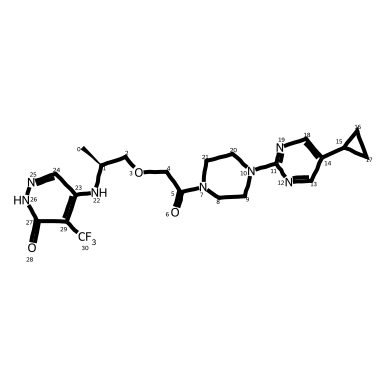 C[C@@H](COCC(=O)N1CCN(c2ncc(C3CC3)cn2)CC1)Nc1cn[nH]c(=O)c1C(F)(F)F